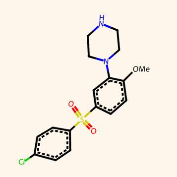 COc1ccc(S(=O)(=O)c2ccc(Cl)cc2)cc1N1CCNCC1